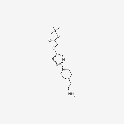 CC(C)(C)OC(=O)COc1cnc(N2CCN(CCN)CC2)nc1